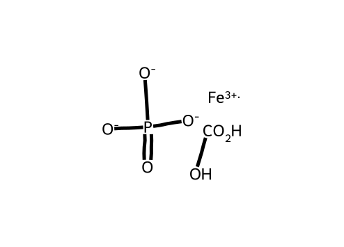 O=C(O)O.O=P([O-])([O-])[O-].[Fe+3]